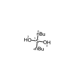 CCCCS(O)(O)CCCC